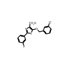 O=C(O)c1nc(-c2cccc(F)c2)sc1OCc1cccc(Cl)c1